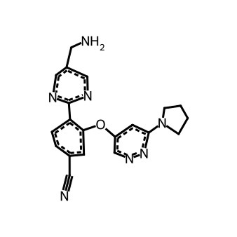 N#Cc1ccc(-c2ncc(CN)cn2)c(Oc2cnnc(N3CCCC3)c2)c1